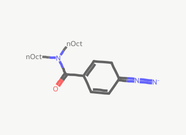 CCCCCCCCN(CCCCCCCC)C(=O)C1=CCC(=[N+]=[N-])C=C1